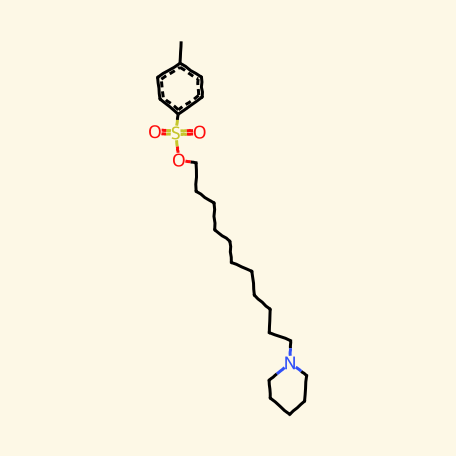 Cc1ccc(S(=O)(=O)OCCCCCCCCCCCN2CCCCC2)cc1